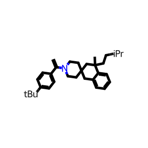 C=C(c1ccc(C(C)(C)C)cc1)N1CCC2(CC1)Cc1ccccc1C(C)(CCC(C)C)C2